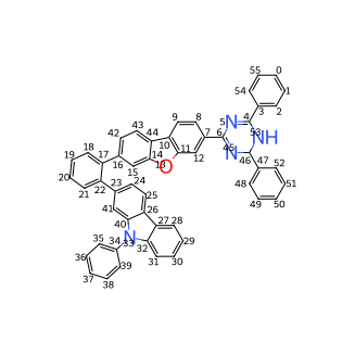 c1ccc(C2=NC(c3ccc4c(c3)oc3cc(-c5ccccc5-c5ccc6c7ccccc7n(-c7ccccc7)c6c5)ccc34)=NC(c3ccccc3)N2)cc1